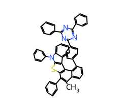 Cc1c(-c2ccccc2)c2sc3c(c4ccccc4n3-c3ccccc3)c2c2c(-c3ccc(-c4nc(-c5ccccc5)nc(-c5ccccc5)n4)cc3)cccc12